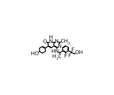 Cc1nc(NC(C)c2cccc(C(F)(F)CO)c2F)c2cc(C3=CCC(O)CC3)c(=O)[nH]c2n1